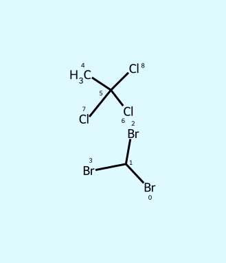 BrC(Br)Br.CC(Cl)(Cl)Cl